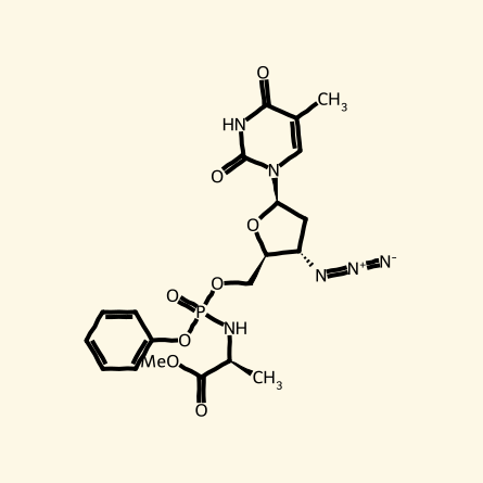 COC(=O)[C@H](C)NP(=O)(OC[C@H]1O[C@@H](n2cc(C)c(=O)[nH]c2=O)C[C@@H]1N=[N+]=[N-])Oc1ccccc1